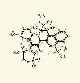 COC1(O)C2(C)c3c(cc(C(C)(C)C)c4ccccc34)-c3c4oc5c(c4c4cc(C)ccc4[n+]3C12C)C(C)(C)CCC5(C)C